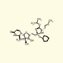 C#C[C@@]1(O)[C@H](O)[C@@H](COP(=S)(N[C@@H](CCSC)C(=O)OC(C)C)Oc2ccccc2)O[C@H]1N1C=CC(=O)NC1=C